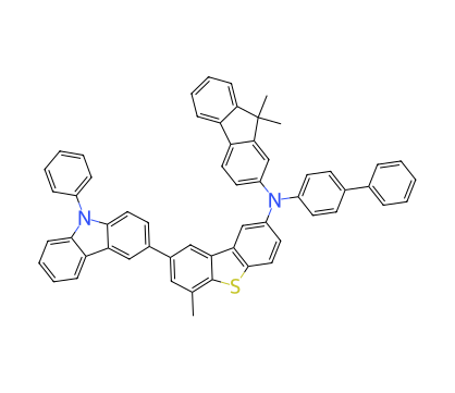 Cc1cc(-c2ccc3c(c2)c2ccccc2n3-c2ccccc2)cc2c1sc1ccc(N(c3ccc(-c4ccccc4)cc3)c3ccc4c(c3)C(C)(C)c3ccccc3-4)cc12